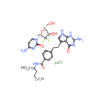 Cl.Nc1ccn([C@@H]2O[C@H](CO)[C@@H](O)C2(F)F)c(=O)n1.Nc1nc(=O)c2c(CCc3ccc(C(=O)N[C@@H](CCC(=O)O)C(=O)O)cc3)c[nH]c2[nH]1